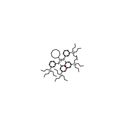 CCC[Si](CCC)(CCC)c1cccc(P(c2cccc([Si](CCC)(CCC)CCC)c2)N(C2CCCCCCC2)P(c2cccc([Si](CCC)(CCC)CCC)c2)c2cccc([Si](CCC)(CCC)CCC)c2)c1